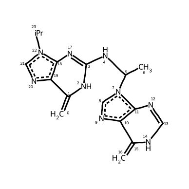 C=C1NC(NC(C)n2cnc3c2N=CNC3=C)=Nc2c1ncn2C(C)C